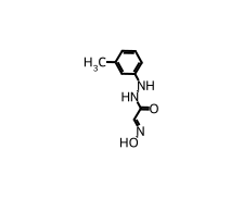 Cc1cccc(NNC(=O)/C=N/O)c1